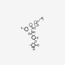 CCC(CC)(C(=O)OCCN(C)C)[C@H]1CC[C@@H](c2cccc(F)c2)N1C(=O)[C@@H](C)NC(=O)c1ccc(Oc2cc(C)n[nH]c2=O)c(F)c1